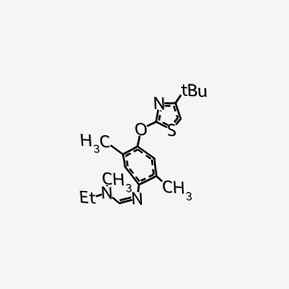 CCN(C)/C=N\c1cc(C)c(Oc2nc(C(C)(C)C)cs2)cc1C